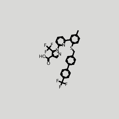 Cc1ccc(SCc2ccc(-c3ccc(C(F)(F)F)cc3)cc2)c(-c2cccc(-n3ncc(C(=O)O)c3C(F)(F)F)n2)c1